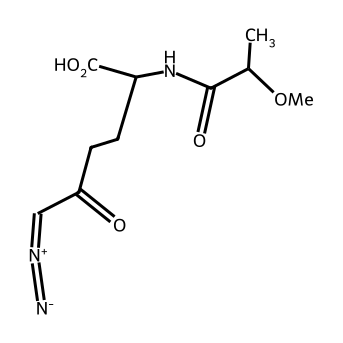 COC(C)C(=O)NC(CCC(=O)C=[N+]=[N-])C(=O)O